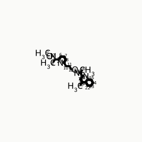 CO/N=C(\C)c1cccc(CCCO/N=C(\C)c2cc(C)c3ccccc3n2)n1